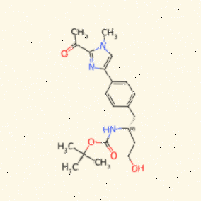 CC(=O)c1nc(-c2ccc(C[C@H](CCO)NC(=O)OC(C)(C)C)cc2)cn1C